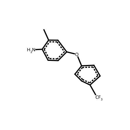 Cc1cc(Oc2ccc(C(F)(F)F)cc2)ccc1N